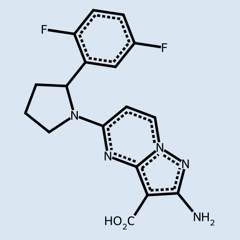 Nc1nn2ccc(N3CCCC3c3cc(F)ccc3F)nc2c1C(=O)O